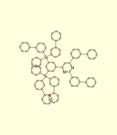 c1ccc(-c2cccc(-c3cc(-c4cc([Si](c5ccccc5)(c5cccc(-c6ccccc6)c5)c5cccc(-c6ccccc6)c5)cc([Si](c5ccccc5)(c5cccc(-c6ccccc6)c5)c5cccc(-c6ccccc6)c5)c4)nc(-c4cccc(-c5ccccc5)c4)n3)c2)cc1